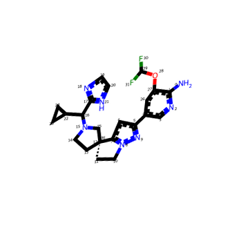 Nc1ncc(-c2cc3n(n2)CC[C@@]32CCN(C(c3ncc[nH]3)C3CC3)C2)cc1OC(F)F